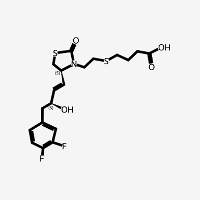 O=C(O)CCCSCCN1C(=O)SC[C@@H]1C=C[C@@H](O)Cc1ccc(F)c(F)c1